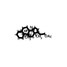 CC(=O)OCCC1=CC[C@H]2[C@@H]3CCC4=CCCC[C@]4(C)[C@H]3CC[C@]12C